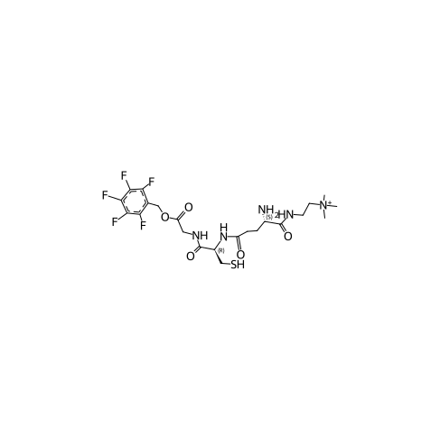 C[N+](C)(C)CCNC(=O)[C@@H](N)CCC(=O)N[C@@H](CS)C(=O)NCC(=O)OCc1c(F)c(F)c(F)c(F)c1F